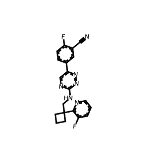 N#Cc1cc(-c2cnc(NCC3(c4ncccc4F)CCC3)nn2)ccc1F